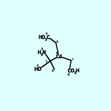 C[C](N)(O)[Cd]([CH2]C(=O)O)[CH2]C(=O)O